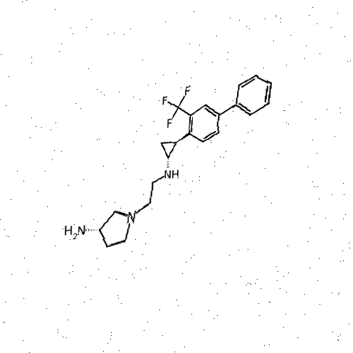 N[C@H]1CCN(CCN[C@@H]2C[C@H]2c2ccc(-c3ccccc3)cc2C(F)(F)F)C1